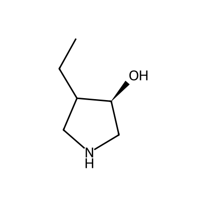 CCC1CNC[C@@H]1O